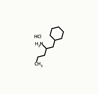 CCCC(N)CC1CCCCC1.Cl